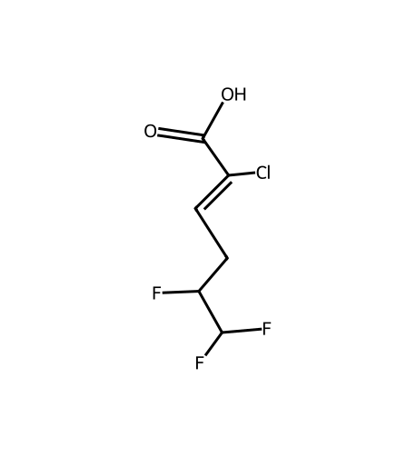 O=C(O)C(Cl)=CCC(F)C(F)F